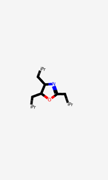 CC(C)CC1=NC(CC(C)C)C(CC(C)C)O1